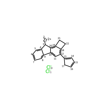 [Cl-].[Cl-].[Zr+2][CH]1c2ccccc2-c2cc(C3=CC=CC3)c3c(c21)CC3